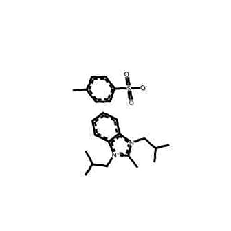 Cc1ccc(S(=O)(=O)[O-])cc1.Cc1n(CC(C)C)c2ccccc2[n+]1CC(C)C